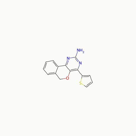 Nc1nc(-c2cccs2)c2c(n1)-c1ccccc1CO2